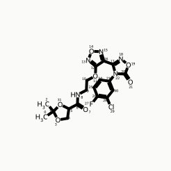 CC1(C)OCC(C(=O)NCCOc2nonc2-c2noc(=O)n2-c2ccc(F)c(Cl)c2)O1